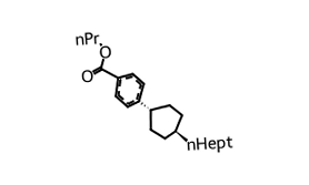 CCCCCCC[C@H]1CC[C@H](c2ccc(C(=O)OCCC)cc2)CC1